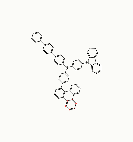 c1ccc(-c2ccc(-c3ccc(N(c4ccc(-c5cccc(-c6ccccc6)c5-c5ccccc5-c5ccccc5)cc4)c4ccc(-n5c6ccccc6c6ccccc65)cc4)cc3)cc2)cc1